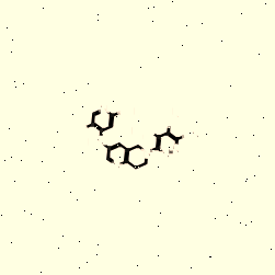 Cc1cc(Nc2cnc3c(c2)CN(c2nnc(C#N)c(C)c2C)CC3)c(F)cn1